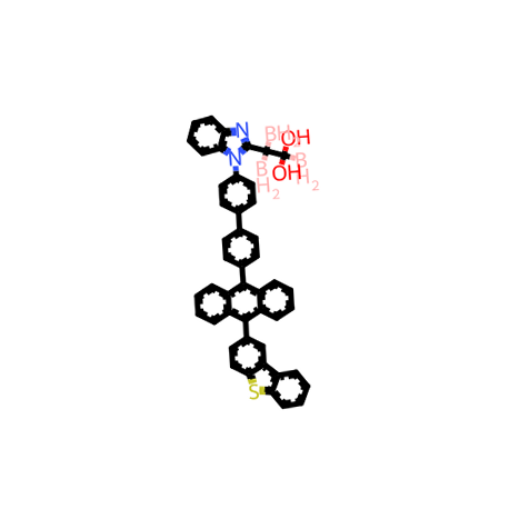 BC(O)(O)C(B)(B)c1nc2ccccc2n1-c1ccc(-c2ccc(-c3c4ccccc4c(-c4ccc5sc6ccccc6c5c4)c4ccccc34)cc2)cc1